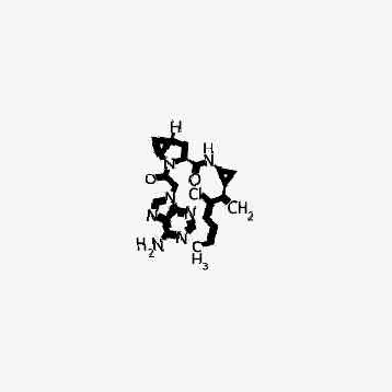 C=C(/C(Cl)=C\C=C/C)[C@@H]1C[C@H]1NC(=O)[C@@H]1C[C@H]2CC2N1C(=O)Cn1cnc2c(N)ncnc21